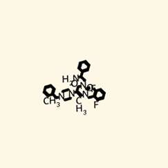 Cc1ccccc1CN1CCN(c2c(C)n(Cc3c(F)cccc3F)c(=O)n(CC(N)c3ccccc3)c2=O)CC1